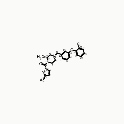 CC(=O)c1ccn(C(=O)N2CCN(Cc3cccc(Oc4ccccc4Cl)c3)C[C@H]2C)n1